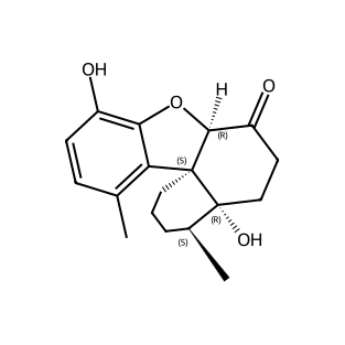 Cc1ccc(O)c2c1[C@]13CCC[C@H](C)[C@]1(O)CCC(=O)[C@@H]3O2